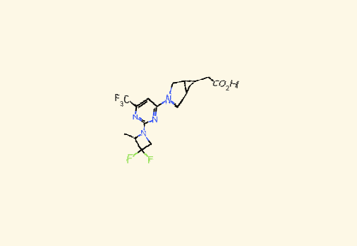 C[C@H]1N(c2nc(N3CC4C(CC(=O)O)C4C3)cc(C(F)(F)F)n2)CC1(F)F